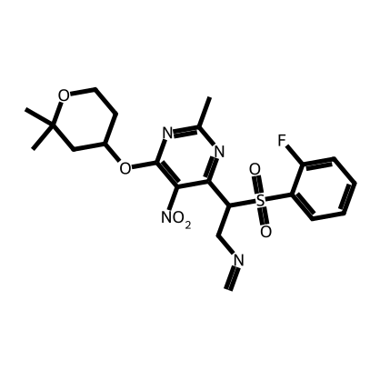 C=NCC(c1nc(C)nc(OC2CCOC(C)(C)C2)c1[N+](=O)[O-])S(=O)(=O)c1ccccc1F